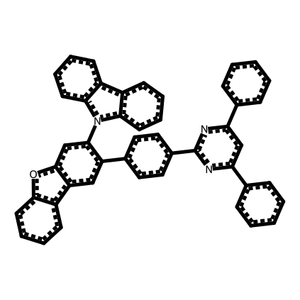 c1ccc(-c2cc(-c3ccccc3)nc(-c3ccc(-c4cc5c(cc4-n4c6ccccc6c6ccccc64)oc4ccccc45)cc3)n2)cc1